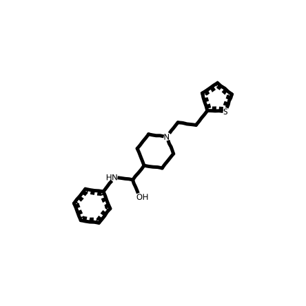 OC(Nc1ccccc1)C1CCN(CCc2cccs2)CC1